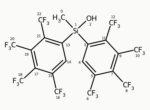 C[Si](O)(c1cc(C(F)(F)F)c(C(F)(F)F)c(C(F)(F)F)c1C(F)(F)F)c1cc(C(F)(F)F)c(C(F)(F)F)c(C(F)(F)F)c1C(F)(F)F